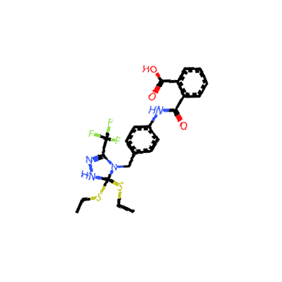 CCSC1(SCC)NN=C(C(F)(F)F)N1Cc1ccc(NC(=O)c2ccccc2C(=O)O)cc1